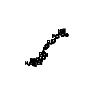 CCN(C)S(=O)(=O)Nc1ccc(F)c(Oc2ccc3ncn(CC4CC5(CCN(C(=O)CN6CCC(c7ccc(NC8CCC(=O)NC8=O)cc7F)CC6)CC5)C4)c(=O)c3c2)c1C#N